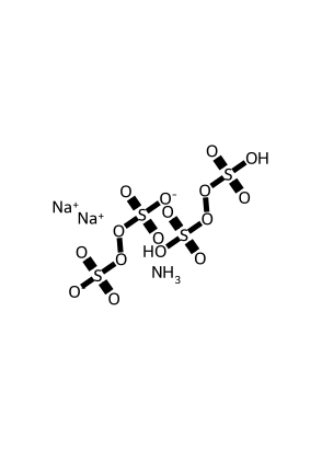 N.O=S(=O)(O)OOS(=O)(=O)O.O=S(=O)([O-])OOS(=O)(=O)[O-].[Na+].[Na+]